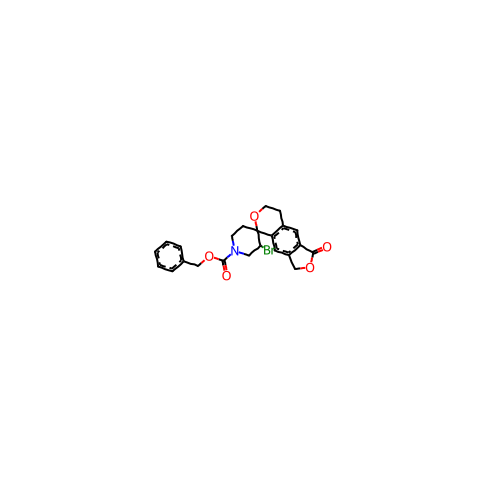 O=C1OCc2cc3c(cc21)CCOC31CCN(C(=O)OCc2ccccc2)CC1Br